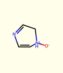 [O-][NH+]1C=CN=CC1